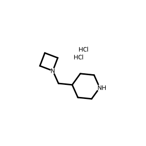 C1CN(CC2CCNCC2)C1.Cl.Cl